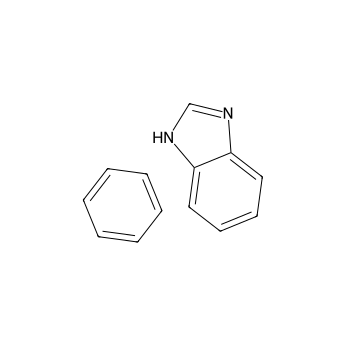 c1ccc2[nH]cnc2c1.c1ccccc1